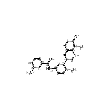 CCn1c(=O)ccc2cc(-c3cc(NC(=O)c4ccnc(C(F)(F)F)c4)ccc3C)cnc21